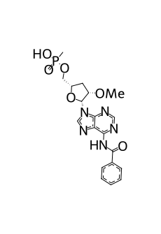 CO[C@H]1C[C@@H](COP(C)(=O)O)O[C@H]1n1cnc2c(NC(=O)c3ccccc3)ncnc21